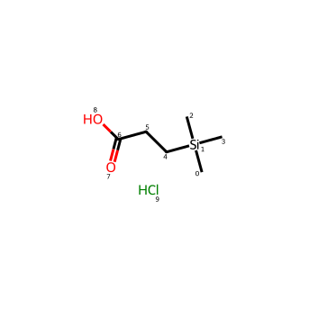 C[Si](C)(C)CCC(=O)O.Cl